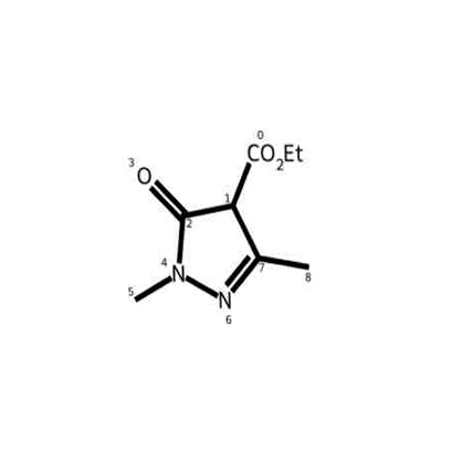 CCOC(=O)C1C(=O)N(C)N=C1C